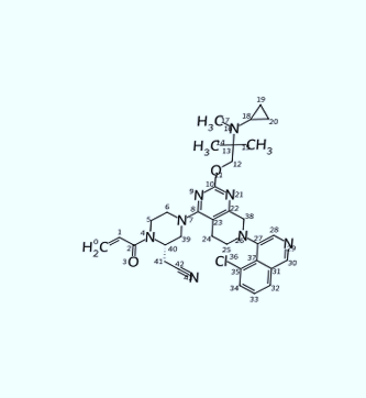 C=CC(=O)N1CCN(c2nc(OCC(C)(C)N(C)C3CC3)nc3c2CCN(c2cncc4cccc(Cl)c24)C3)C[C@@H]1CC#N